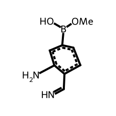 COB(O)c1ccc(C=N)c(N)c1